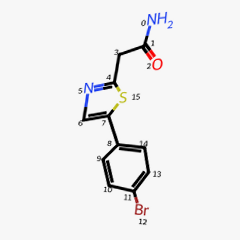 NC(=O)Cc1ncc(-c2ccc(Br)cc2)s1